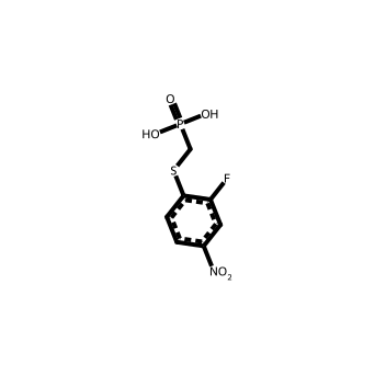 O=[N+]([O-])c1ccc(SCP(=O)(O)O)c(F)c1